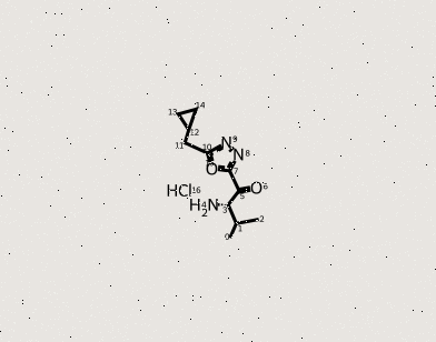 CC(C)[C@H](N)C(=O)c1nnc(CC2CC2)o1.Cl